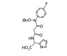 CC(C)CON(C(=O)CC(=O)NC(C(=O)O)c1cscn1)c1ccc(F)cc1